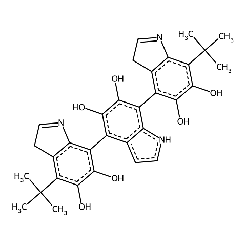 CC(C)(C)c1c(O)c(O)c(-c2c(O)c(O)c(-c3c(O)c(O)c(C(C)(C)C)c4c3CC=N4)c3[nH]ccc23)c2c1CC=N2